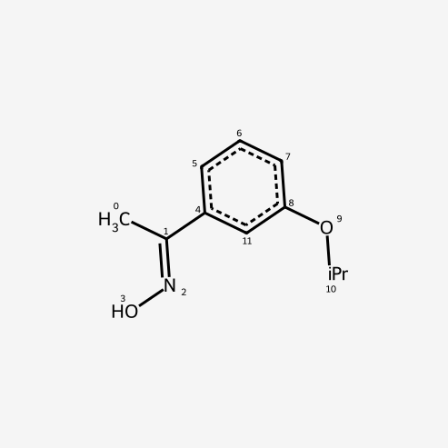 CC(=NO)c1cccc(OC(C)C)c1